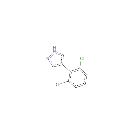 Clc1cccc(Cl)c1-c1cn[nH]c1